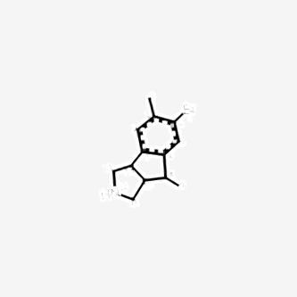 Cc1cc2c(cc1Br)C(C)C1CNCC21